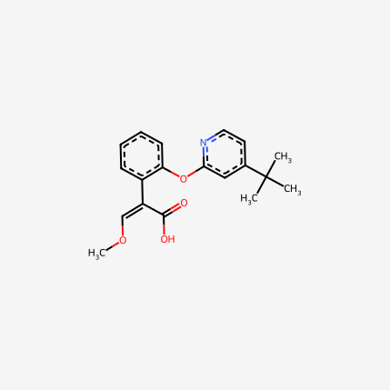 CO/C=C(\C(=O)O)c1ccccc1Oc1cc(C(C)(C)C)ccn1